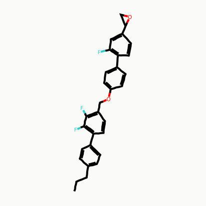 CCCc1ccc(-c2ccc(COc3ccc(-c4ccc(C5CO5)cc4F)cc3)c(F)c2F)cc1